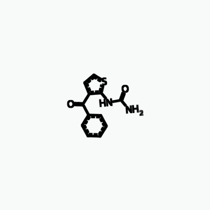 NC(=O)Nc1sccc1C(=O)c1ccccc1